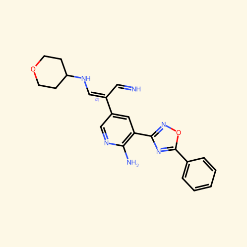 N=C/C(=C\NC1CCOCC1)c1cnc(N)c(-c2noc(-c3ccccc3)n2)c1